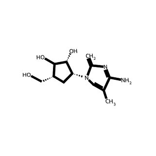 C=C1N=C(N)C(C)=CN1[C@@H]1C[C@H](CO)C(O)[C@@H]1O